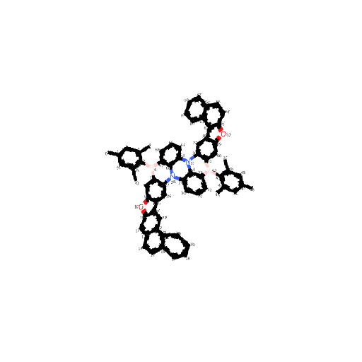 Cc1cc(C)c(B2c3cc4oc5cc6ccc7ccccc7c6cc5c4cc3N3c4cccc5c4N(c4cc6c(cc4B5c4c(C)cc(C)cc4C)oc4ccc5ccccc5c46)c4cccc2c43)c(C)c1